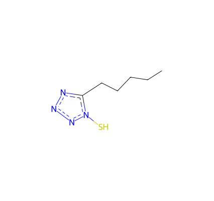 CCCCCc1nnnn1S